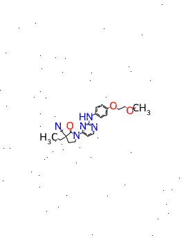 CCC1(C#N)CCN(c2ccnc(Nc3ccc(OCCOC)cc3)n2)C1=O